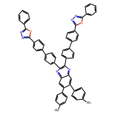 CC(C)(C)c1ccc(-c2cc3nc(-c4ccc(-c5ccc(-c6nnc(-c7ccccc7)o6)cc5)cc4)c(-c4ccc(-c5ccc(-c6nnc(-c7ccccc7)o6)cc5)cc4)nc3cc2-c2ccc(C(C)(C)C)cc2)cc1